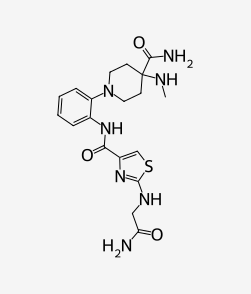 CNC1(C(N)=O)CCN(c2ccccc2NC(=O)c2csc(NCC(N)=O)n2)CC1